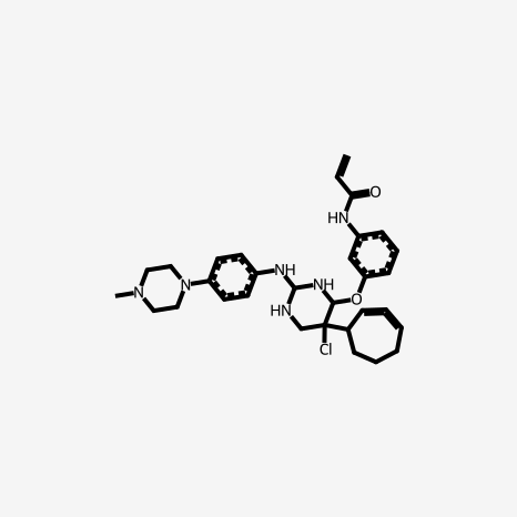 C=CC(=O)Nc1cccc(OC2NC(Nc3ccc(N4CCN(C)CC4)cc3)NCC2(Cl)C2C=C=CCCC2)c1